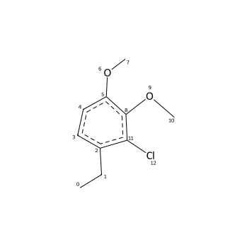 CCc1ccc(OC)c(OC)c1Cl